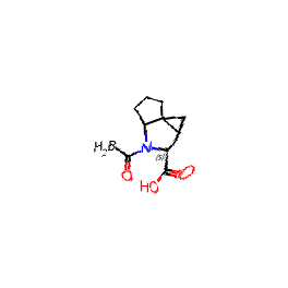 BC(=O)N1C2CCCC23CC3[C@H]1C(=O)O